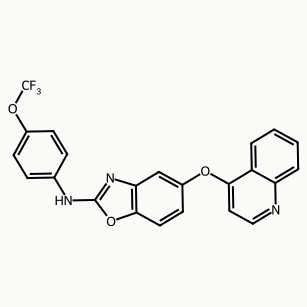 FC(F)(F)Oc1ccc(Nc2nc3cc(Oc4ccnc5ccccc45)ccc3o2)cc1